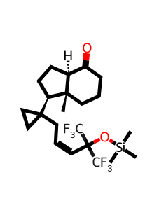 C[C@]12CCCC(=O)[C@@H]1CC[C@@H]2C1(C/C=C\C(O[Si](C)(C)C)(C(F)(F)F)C(F)(F)F)CC1